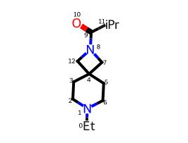 CCN1CCC2(CC1)CN(C(=O)C(C)C)C2